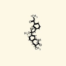 CCC(=O)c1cccc(CC(C)(N)c2ccc3cc(C)c(=O)[nH]c3c2)c1